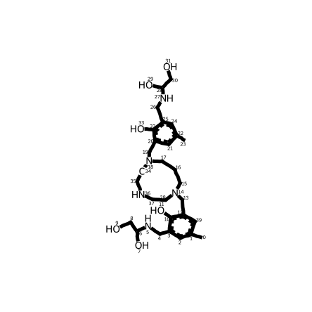 Cc1cc(CNC(O)CO)c(O)c(CN2CCCN(Cc3cc(C)cc(CNC(O)CO)c3O)CCNCC2)c1